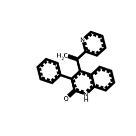 C=C(c1ccccn1)c1c(-c2ccccc2)c(=O)[nH]c2ccccc12